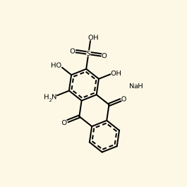 Nc1c(O)c(S(=O)(=O)O)c(O)c2c1C(=O)c1ccccc1C2=O.[NaH]